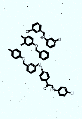 Cc1ccc(OCc2cccc(Cl)c2)cc1.Cc1ccc(OCc2ccccc2)cc1C.Clc1cccc(CNc2cccc(Cl)c2)c1.O=C(CNc1ccc(Cl)cc1)c1ccc(Cl)cc1